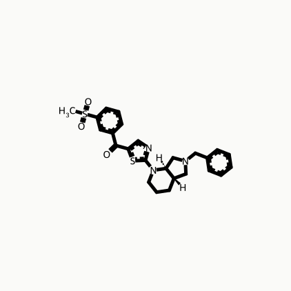 CS(=O)(=O)c1cccc(C(=O)c2cnc(N3CCC[C@H]4CN(Cc5ccccc5)C[C@@H]43)s2)c1